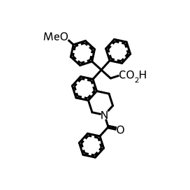 COc1ccc(C(CC(=O)O)(c2ccccc2)c2cccc3c2CCN(C(=O)c2ccccc2)C3)cc1